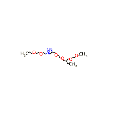 CCCOCCOCCn1cc(COCCOCC(CC)COCCOCC)nn1